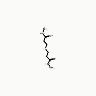 NNC(=O)CCSCCC(=O)NN